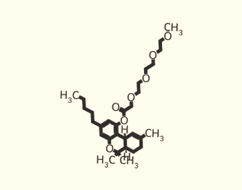 CCCCCc1cc(OC(=O)COCCOCCOCCOC)c2c(c1)OC(C)(C)[C@@H]1CCC(C)=C[C@@H]21